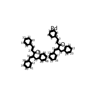 O=C(C=Cc1ccccc1)C(=Cc1ccccc1)Cc1ccccc1.O=C(C=Cc1ccccc1)C(=Cc1ccccc1)Cc1ccccc1.[Pd]